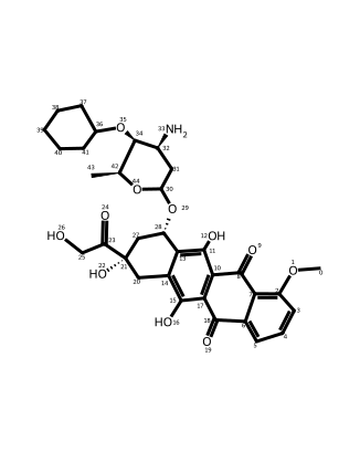 COc1cccc2c1C(=O)c1c(O)c3c(c(O)c1C2=O)C[C@@](O)(C(=O)CO)C[C@@H]3OC1C[C@H](N)[C@H](OC2CCCCC2)[C@H](C)O1